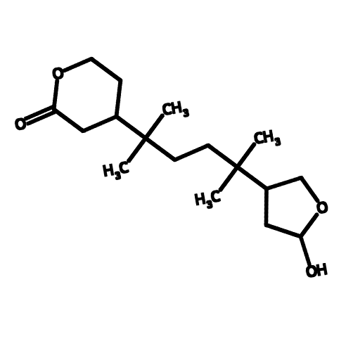 CC(C)(CCC(C)(C)C1COC(O)C1)C1CCOC(=O)C1